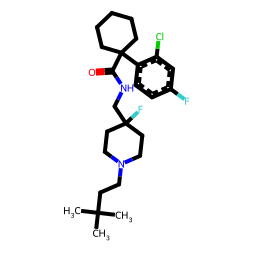 CC(C)(C)CCN1CCC(F)(CNC(=O)C2(c3ccc(F)cc3Cl)CCCCC2)CC1